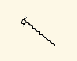 CCCCCCCCCCCCCCC=CN1C(=O)CCC1=O